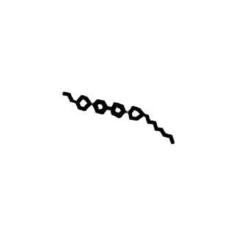 CCCCCCCC[C@H]1CC[C@H](c2ccc(-c3ccc([C@H]4CC[C@H](CCC)CC4)cc3)cc2)CC1